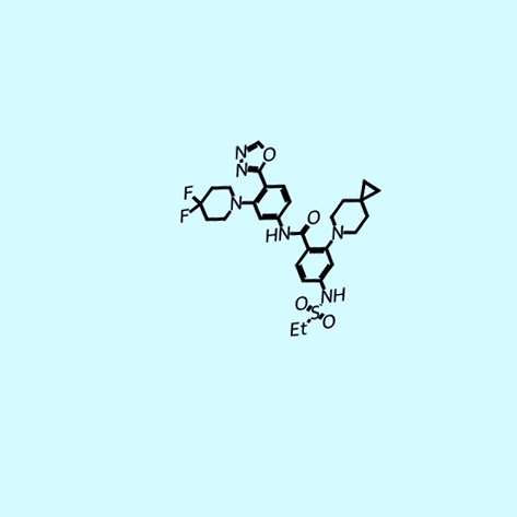 CCS(=O)(=O)Nc1ccc(C(=O)Nc2ccc(-c3nnco3)c(N3CCC(F)(F)CC3)c2)c(N2CCC3(CC2)CC3)c1